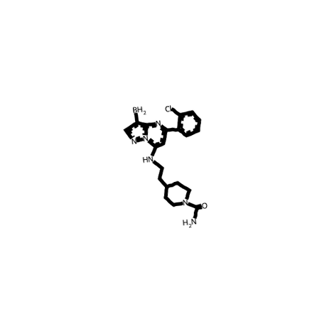 Bc1cnn2c(NCCC3CCN(C(N)=O)CC3)cc(-c3ccccc3Cl)nc12